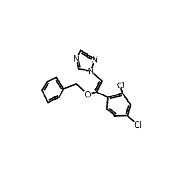 Clc1ccc(C(=Cn2cncn2)OCc2ccccc2)c(Cl)c1